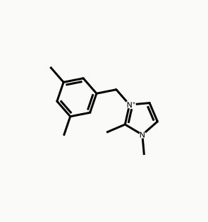 Cc1cc(C)cc(C[n+]2ccn(C)c2C)c1